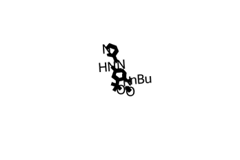 CCCCN1C(=O)OC(C)(C)c2cc3[nH]c(-c4cccnc4)nc3cc21